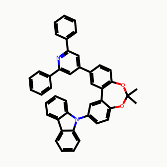 CC1(C)Oc2ccc(-c3cc(-c4ccccc4)nc(-c4ccccc4)c3)cc2-c2cc(-n3c4ccccc4c4ccccc43)ccc2O1